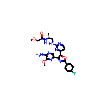 COCC(=O)N[C@@H](C)CNc1nccc(-c2oc(-c3ccc(F)cc3)nc2-c2cnc(N)c(OC)n2)n1